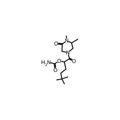 CC1CN(C(=O)C(CCC(C)(C)C)OC(N)=O)CC(=O)N1C